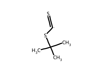 CC(C)(C)S[C]=S